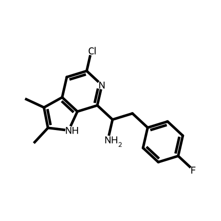 Cc1[nH]c2c(C(N)Cc3ccc(F)cc3)nc(Cl)cc2c1C